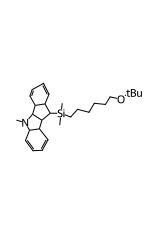 CN1C2C=CC=CC2C2C1C1C=CC=CC1C2[Si](C)(C)CCCCCCOC(C)(C)C